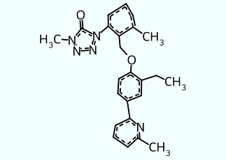 CCc1cc(-c2cccc(C)n2)ccc1OCc1c(C)cccc1-n1nnn(C)c1=O